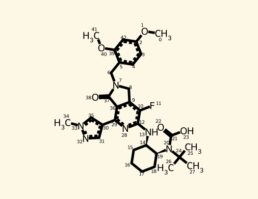 COc1ccc(CN2Cc3c(F)c(N[C@@H]4CCCC[C@@H]4N(C(=O)O)C(C)(C)C)nc(-c4cnn(C)c4)c3C2=O)c(OC)c1